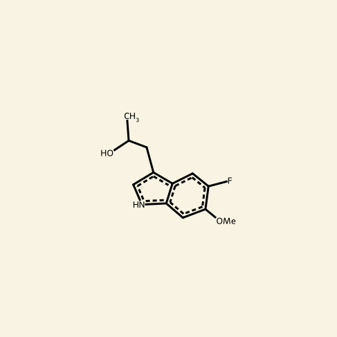 COc1cc2[nH]cc(CC(C)O)c2cc1F